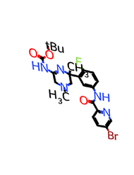 CN1CC(NC(=O)OC(C)(C)C)=NC(C)(c2cc(NC(=O)c3ccc(Br)cn3)ccc2F)C1